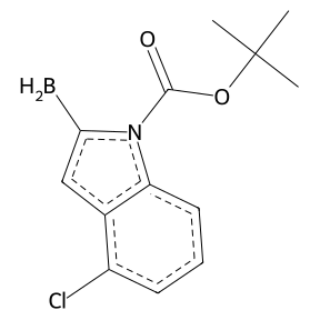 Bc1cc2c(Cl)cccc2n1C(=O)OC(C)(C)C